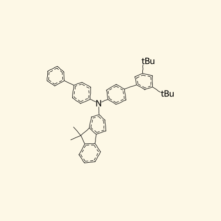 CC(C)(C)c1cc(-c2ccc(N(c3ccc(-c4ccccc4)cc3)c3ccc4c(c3)C(C)(C)c3ccccc3-4)cc2)cc(C(C)(C)C)c1